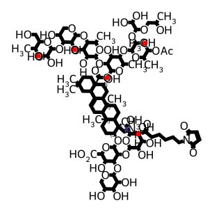 CC(=O)OC(C)C(C)OC(OC1C(C)OC(OC(=O)[C@]23CCC(C)(C)CC2C2=CCC4[C@@](C)(CCC5[C@]4(C)CC[C@H](OC4OC(C(=O)O)C(O)C(OC6OCC(O)C(O)C6O)C4OC4OC(CO)C(O)C(O)C4O)[C@@]5(C)/C=N/NC(=O)CCCCCN4C(=O)C=CC4=O)C2C[C@H]3O)C(OC2OC(C)C(OC3OCC(O)C(OC(OC(CO)C(C)O)C(O)O)C3O)C(O)C2O)C1O)C(O)OC(OCC(C)O)C(O)O